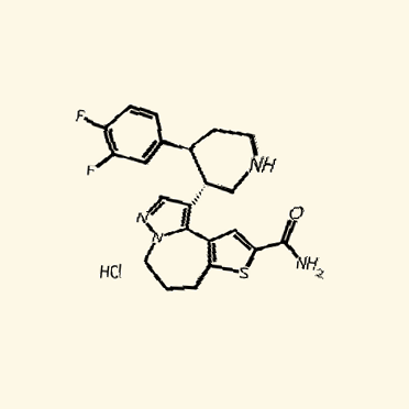 Cl.NC(=O)c1cc2c(s1)CCCn1ncc([C@H]3CNCC[C@@H]3c3ccc(F)c(F)c3)c1-2